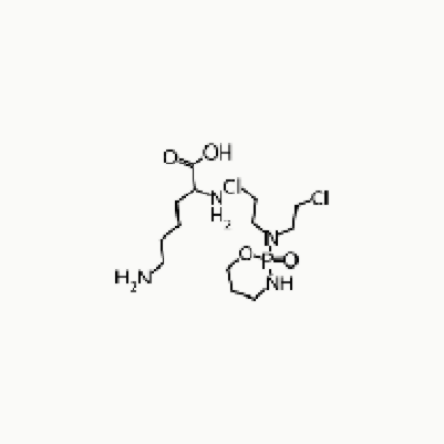 NCCCCC(N)C(=O)O.O=P1(N(CCCl)CCCl)NCCCO1